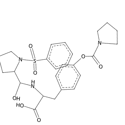 O=C(O)C(Cc1ccc(OC(=O)N2CCCC2)cc1)NC(O)C1CCCN1S(=O)(=O)c1ccccc1